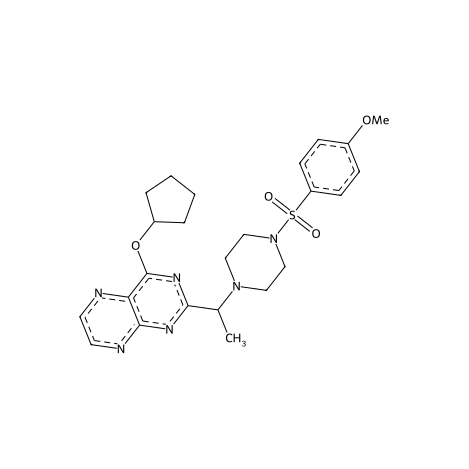 COc1ccc(S(=O)(=O)N2CCN(C(C)c3nc(OC4CCCC4)c4nccnc4n3)CC2)cc1